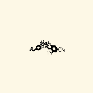 CCc1cc(C#N)cc(C(C)C)c1CC(=O)N[SH](N)(=O)c1ccc(CN(C)C)cc1